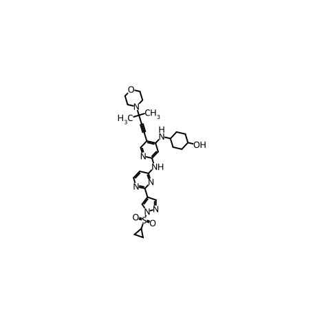 CC(C)(C#Cc1cnc(Nc2ccnc(-c3cnn(S(=O)(=O)C4CC4)c3)n2)cc1NC1CCC(O)CC1)N1CCOCC1